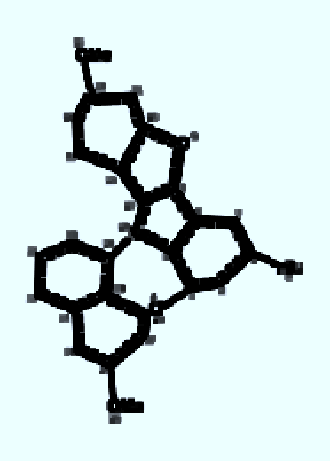 CCCCc1cc(Cl)c2c(c1)c1oc3cc(OC)ccc3c1n2-c1cccc2cc(OC)ccc12